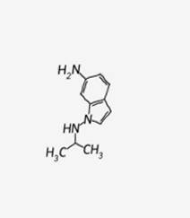 CC(C)Nn1ccc2ccc(N)cc21